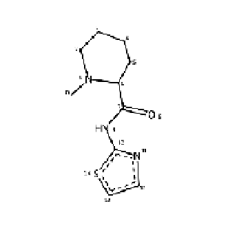 CN1CCCCC1C(=O)Nc1nccs1